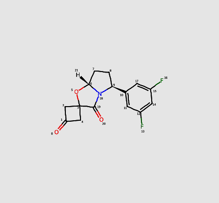 O=C1CC2(C1)O[C@@H]1CC[C@@H](c3cc(F)cc(F)c3)N1C2=O